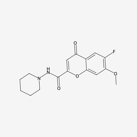 COc1cc2oc(C(=O)NN3CCCCC3)cc(=O)c2cc1F